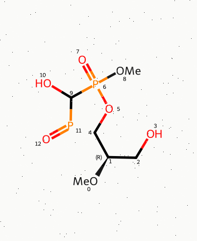 CO[C@H](CO)COP(=O)(OC)C(O)P=O